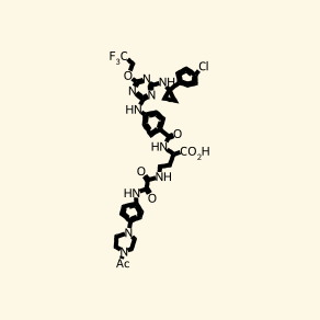 CC(=O)N1CCN(c2ccc(NC(=O)C(=O)NCCC(NC(=O)c3ccc(Nc4nc(NC5(c6ccc(Cl)cc6)CC5)nc(OCC(F)(F)F)n4)cc3)C(=O)O)cc2)CC1